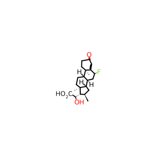 C[C@@H]1C[C@H]2[C@@H]3C[C@H](F)C4=CC(=O)CC[C@]4(C)[C@H]3CC[C@]2(C)[C@H]1C(O)C(=O)O